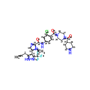 C#CCc1[nH]nc(C(F)(F)F)c1-c1cnc(C(=O)Nc2ccc(C(=O)N3CCN(C(=O)C4CCNCC4)CC3)c(Cl)c2)n1C